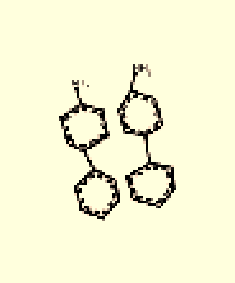 Nc1ccc(-c2ccccc2)cc1.Nc1ccc(-c2ccccc2)cc1